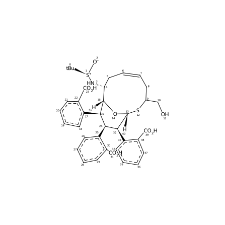 CC(C)(C)[S@@+]([O-])N[C@@H]1C/C=C\CC(CO)S[C@H]2O[C@@H]1[C@H](c1ccccc1C(=O)O)[C@H](c1ccccc1C(=O)O)[C@@H]2c1ccccc1C(=O)O